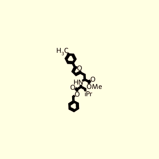 COC(=O)C(Cc1ccc(-c2ccc(C)cc2)o1)NC(CC(C)C)C(=O)OCc1ccccc1